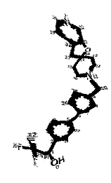 O[C@H](c1ccc(-c2ccc(CN3CCC4(CC3)Cc3ccncc3O4)cc2)cc1)C(F)(F)F